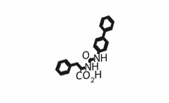 O=C(Nc1ccc(-c2ccccc2)cc1)N[C@@H](Cc1ccccc1)C(=O)O